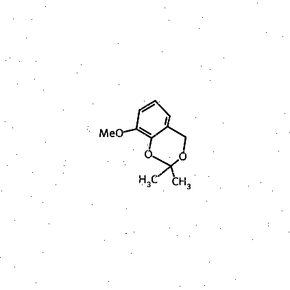 COc1cccc2c1OC(C)(C)OC2